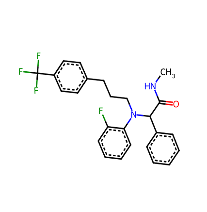 CNC(=O)C(c1ccccc1)N(CCCc1ccc(C(F)(F)F)cc1)c1ccccc1F